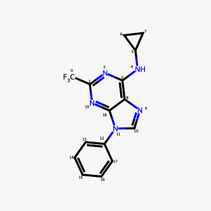 FC(F)(F)c1nc(NC2CC2)c2ncn(-c3ccccc3)c2n1